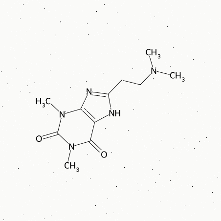 CN(C)CCc1nc2c([nH]1)c(=O)n(C)c(=O)n2C